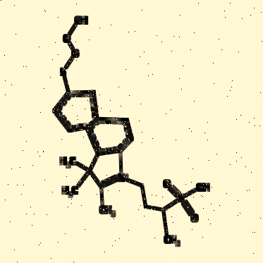 CC1=[N+](CCC(C)S(=O)(=O)O)c2ccc3cc(SOOO)ccc3c2C1(C)C